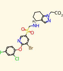 O=C(O)Cn1ncc2c1CCC[C@H]2NCS(=O)(=O)c1cnc(Oc2ccc(Cl)cc2Cl)c(Br)c1